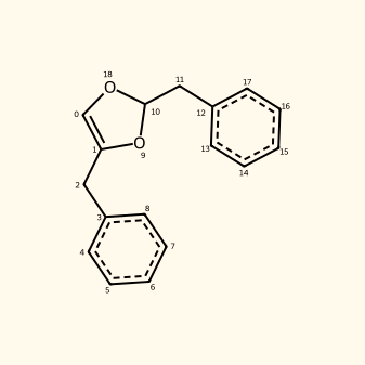 C1=C(Cc2ccccc2)OC(Cc2ccccc2)O1